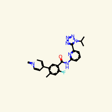 C=N/C=C\C(=C/C)c1cc(C(=O)Nc2cccc(-c3nnnn3C(C)C)n2)c(F)cc1C